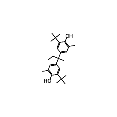 CCC(C)(c1cc(C)c(O)c(C(C)(C)C)c1)c1cc(C)c(O)c(C(C)(C)C)c1